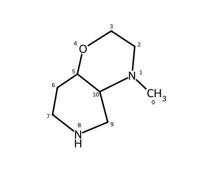 CN1CCOC2CCNCC21